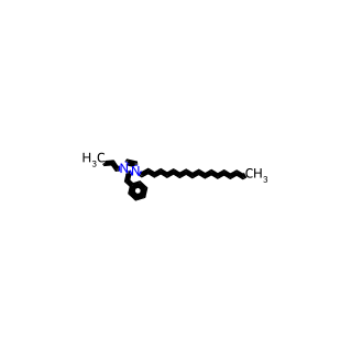 CCCCCCCCCCCCCCCCCCN1C=CN(CCCC)C1Cc1ccccc1